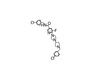 O=C(NCc1ccc(Cl)cc1)c1cnc(N2CCN(C3CCN(Cc4ccc(Cl)cc4)CC3)CC2)c(F)c1